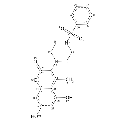 Cc1c(N2CCN(S(=O)(=O)c3ccccc3)CC2)c(=O)oc2cc(O)cc(O)c12